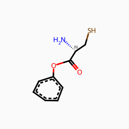 N[C@H](CS)C(=O)Oc1ccccc1